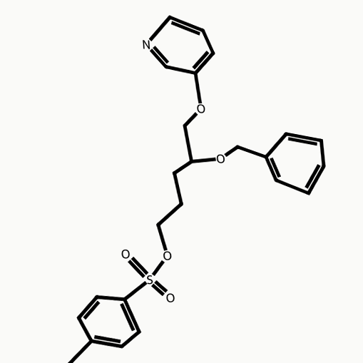 Cc1ccc(S(=O)(=O)OCCCC(COc2cccnc2)OCc2ccccc2)cc1